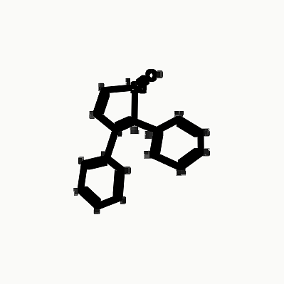 O=[Se]1C=CC(c2ccccc2)=C1c1ccccc1